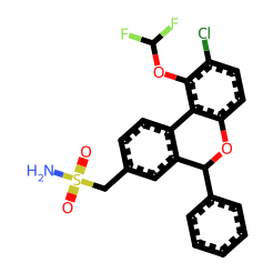 NS(=O)(=O)Cc1ccc2c(c1)C(c1ccccc1)Oc1ccc(Cl)c(OC(F)F)c1-2